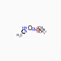 Cc1ccc(N[C@H]2CC[C@H](CNS(=O)(=O)C(C)(C)C)CC2)nc1